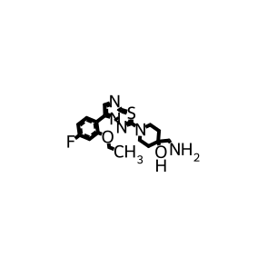 CCOc1cc(F)ccc1-c1cnc2sc(N3CCC(O)(CN)CC3)nn12